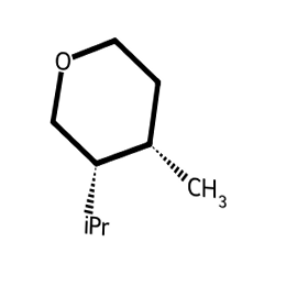 CC(C)[C@@H]1COCC[C@@H]1C